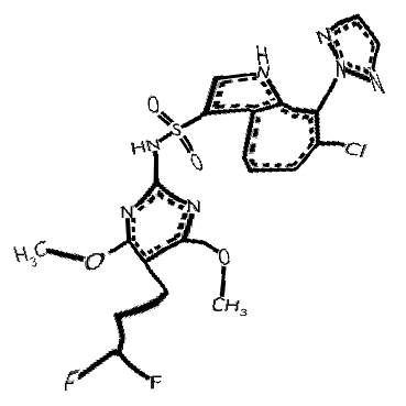 COc1nc(NS(=O)(=O)c2c[nH]c3c(-n4nccn4)c(Cl)ccc23)nc(OC)c1CCC(F)F